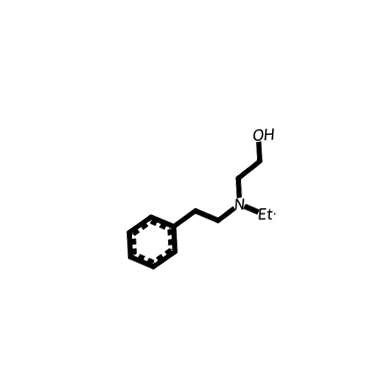 C[CH]N(CCO)CCc1ccccc1